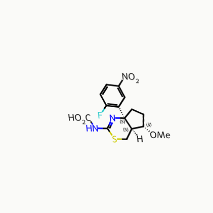 CO[C@H]1CC[C@]2(c3cc([N+](=O)[O-])ccc3F)N=C(NC(=O)O)SC[C@H]12